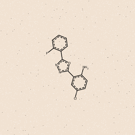 Nc1ccc(Cl)cc1-c1nnc(-c2ccccc2F)o1